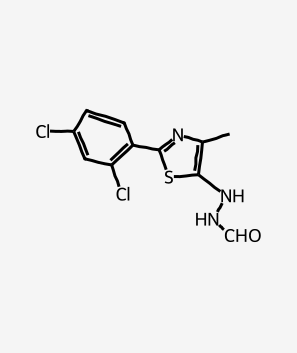 Cc1nc(-c2ccc(Cl)cc2Cl)sc1NNC=O